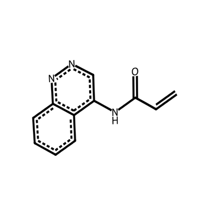 C=CC(=O)Nc1cnnc2ccccc12